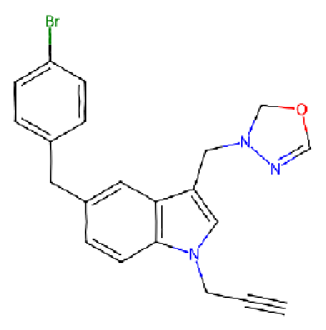 C#CCn1cc(CN2COC=N2)c2cc(Cc3ccc(Br)cc3)ccc21